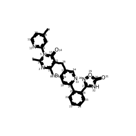 CCCCc1nc(C)n(-c2cc(C)ccn2)c(=O)c1Cc1ccc(-c2ccccc2-c2noc(=O)[nH]2)nc1